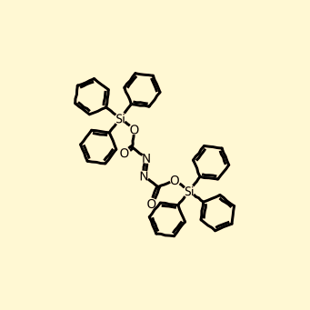 O=C(N=NC(=O)O[Si](c1ccccc1)(c1ccccc1)c1ccccc1)O[Si](c1ccccc1)(c1ccccc1)c1ccccc1